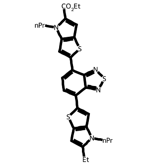 CCCn1c(CC)cc2sc(-c3ccc(-c4cc5c(cc(C(=O)OCC)n5CCC)s4)c4nsnc34)cc21